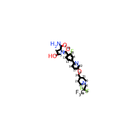 NC(=O)C1CC(O)CN1C(=O)c1ccc(-c2ccc(OCC3CCN(CC(F)(F)C(F)(F)F)CC3)cn2)cc1F